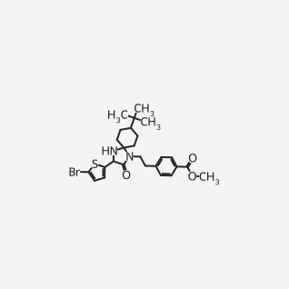 COC(=O)c1ccc(CCN2C(=O)C(c3ccc(Br)s3)NC23CCC(C(C)(C)C)CC3)cc1